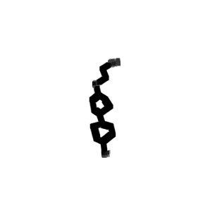 OCCOc1ccc(-c2ccc(Br)cc2)cc1